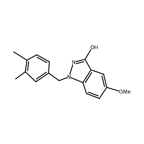 COc1ccc2c(c1)c(O)nn2Cc1ccc(C)c(C)c1